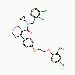 COc1cc(Cl)ccc1OCCOc1ccc(C2=C(C(=O)N(Cc3cccc(Cl)c3Cl)C3CC3)CNCC2)cc1